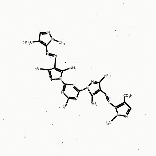 CCCCc1nn(-c2nc(C(C)C)nc(-n3nc(CCCC)c(/N=N/c4c(C(=O)O)cnn4C)c3N)n2)c(N)c1/N=N/c1c(C(=O)O)cnn1C